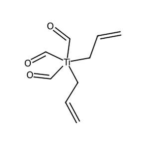 C=C[CH2][Ti]([CH]=O)([CH]=O)([CH]=O)[CH2]C=C